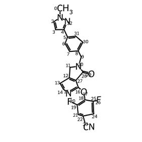 Cn1ccc(-c2ccc(CN3Cc4ccnc(Oc5c(F)cc(C#N)cc5F)c4C3=O)cc2)n1